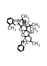 CC(=O)N[C@@H](Cc1ccccc1C)C(=O)N[C@H](C(=O)N[C@@H](CC(C)C)C(=O)OCc1ccccc1)C(C)(C)C